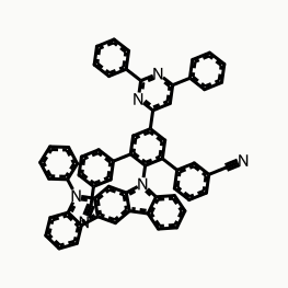 N#Cc1cccc(-c2cc(-c3cc(-c4ccccc4)nc(-c4ccccc4)n3)cc(-c3cccc(C#N)c3)c2-n2c3ccccc3c3cc4c5ccccc5n(-c5ccccc5)c4cc32)c1